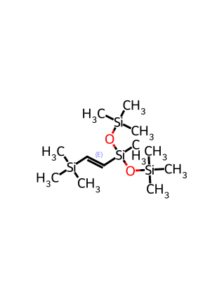 C[Si](C)(C)/C=C/[Si](C)(O[Si](C)(C)C)O[Si](C)(C)C